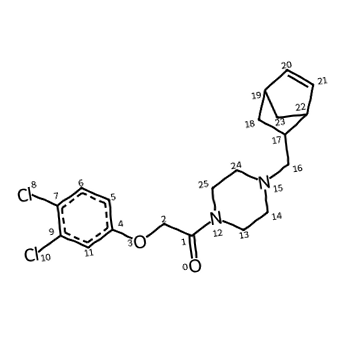 O=C(COc1ccc(Cl)c(Cl)c1)N1CCN(CC2CC3C=CC2C3)CC1